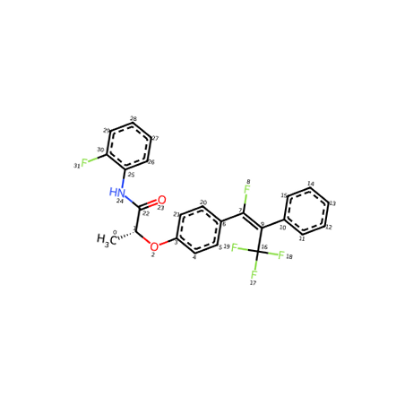 C[C@@H](Oc1ccc(C(F)=C(c2ccccc2)C(F)(F)F)cc1)C(=O)Nc1ccccc1F